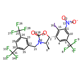 C[C@@H]1[C@@H](c2cc(C(F)(F)F)cc([N+](=O)[O-])c2I)OC(=O)N1Cc1cc(C(F)(F)F)cc(C(F)(F)F)c1